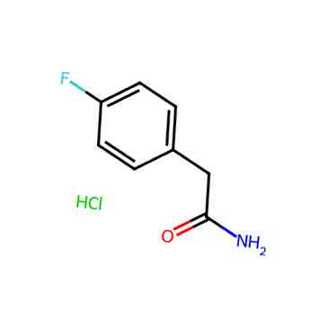 Cl.NC(=O)Cc1ccc(F)cc1